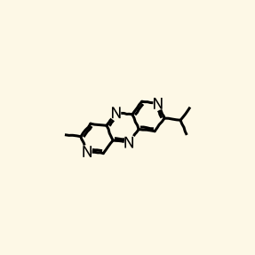 Cc1cc2nc3cnc(C(C)C)cc3nc2cn1